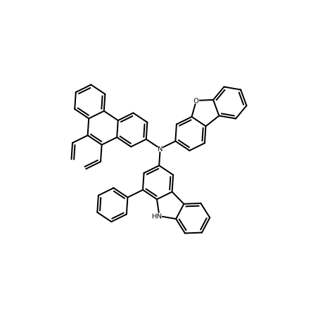 C=Cc1c(C=C)c2cc(N(c3ccc4c(c3)oc3ccccc34)c3cc(-c4ccccc4)c4[nH]c5ccccc5c4c3)ccc2c2ccccc12